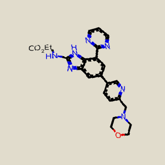 CCOC(=O)Nc1nc2cc(-c3ccc(CN4CCOCC4)nc3)cc(-c3ncccn3)c2[nH]1